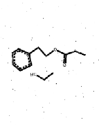 CCC(=O)OCCc1ccccc1.CCO